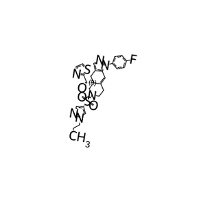 CCCn1cc(S(=O)(=O)N2CCC3=Cc4c(cnn4-c4ccc(F)cc4)C[C@]3(C(=O)c3nccs3)C2)cn1